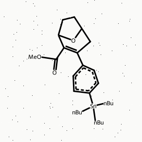 CCC[CH2][Sn]([CH2]CCC)([CH2]CCC)[c]1ccc(C2=C(C(=O)OC)C3CCC(C2)O3)cc1